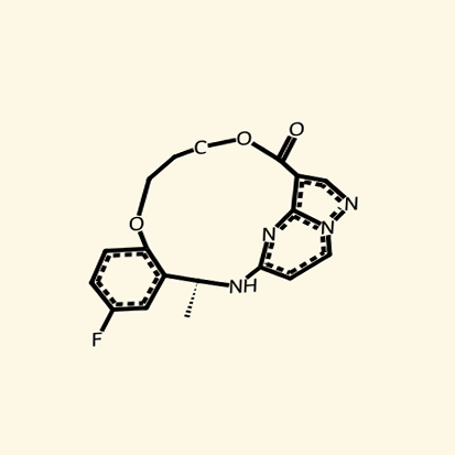 C[C@H]1Nc2ccn3ncc(c3n2)C(=O)OCCCOc2ccc(F)cc21